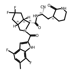 Cc1cc(F)c2cc(C(=O)N3C[C@@H]4CC(F)(F)C[C@@H]4[C@@H]3C(=O)N[C@H](C#N)C[C@@H]3CCCNC3=O)[nH]c2c1F